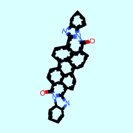 O=c1c2ccc3c4ccc5c6c(ccc(c7ccc(c8n1C1C=CC=CC1N=8)c2c73)c46)c(=O)n1c2ccccc2nc51